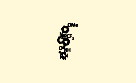 COc1ccc(N=S2(=O)CCCc3c(C(=O)Nc4nnnn4C)ccc(C(F)(F)F)c32)cc1